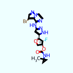 CC1(NC(=O)O[C@H]2CO[C@@H](c3cc(Nc4nccn5ncc(Br)c45)n[nH]3)[C@@H]2F)CC1